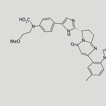 COCCN(C(=O)O)c1ccc(-c2cnc([C@@H]3CCc4nc(-c5cc(C)ccc5-n5cnnn5)cc(=O)n43)[nH]2)cc1